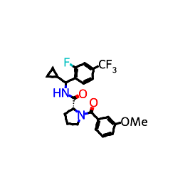 COc1cccc(C(=O)N2CCC[C@@H]2C(=O)NC(c2ccc(C(F)(F)F)cc2F)C2CC2)c1